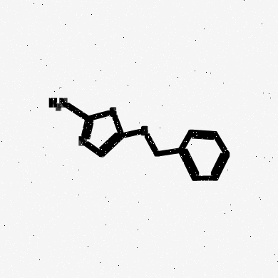 Nc1ncc(SCc2ccccc2)s1